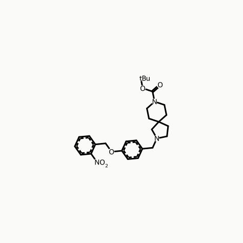 CC(C)(C)OC(=O)N1CCC2(CCN(Cc3ccc(OCc4ccccc4[N+](=O)[O-])cc3)C2)CC1